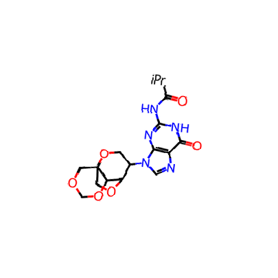 CC(C)C(=O)Nc1nc2c(ncn2C2COC34COCOC3C2OC4)c(=O)[nH]1